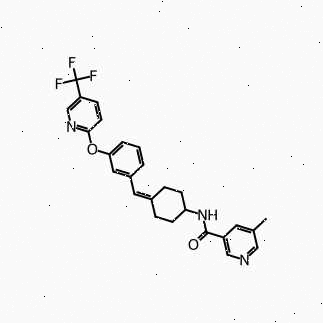 Cc1cncc(C(=O)NC2CCC(=Cc3cccc(Oc4ccc(C(F)(F)F)cn4)c3)CC2)c1